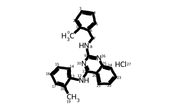 Cc1ccccc1CNc1nc(Nc2ccccc2C)c2ccccc2n1.Cl